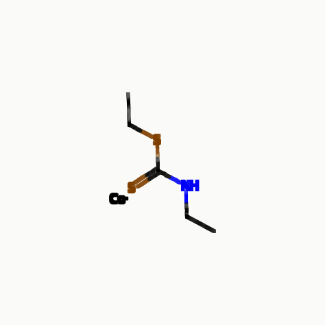 CCNC(=S)SCC.[Co]